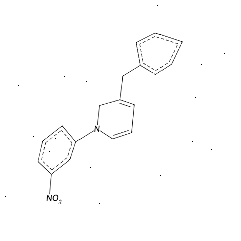 O=[N+]([O-])c1cccc(N2C=CC=C(Cc3ccccc3)C2)c1